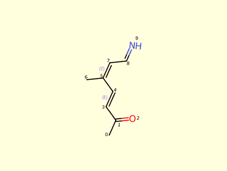 CC(=O)/C=C/C(C)=C\C=N